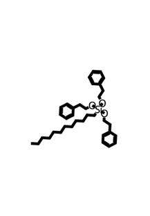 CCCCCCCCCCCC[Si](OCCc1ccccc1)(OCCc1ccccc1)OCCc1ccccc1